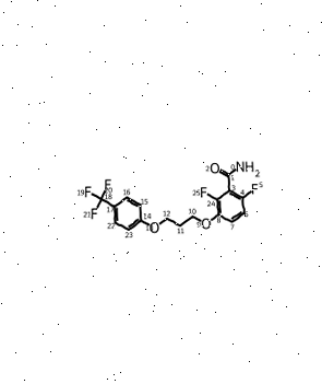 NC(=O)c1c(F)ccc(OCCCOc2ccc(C(F)(F)F)cc2)c1F